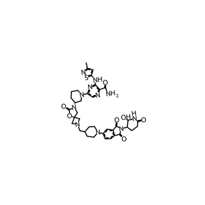 Cc1cc(Nc2nc(N3CCC[C@@H](N4CC5(CN(CC6CCN(c7ccc8c(c7)C(=O)N(C7CCC(=O)NC7O)C8=O)CC6)C5)OC4=O)C3)cnc2C(N)=O)sn1